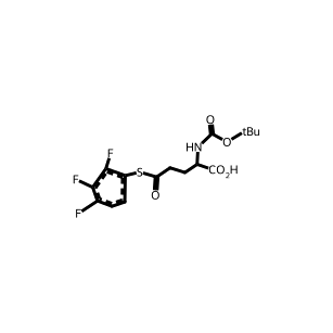 CC(C)(C)OC(=O)NC(CCC(=O)Sc1ccc(F)c(F)c1F)C(=O)O